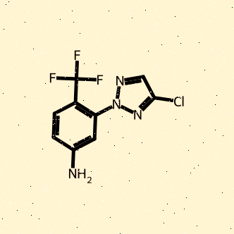 Nc1ccc(C(F)(F)F)c(-n2ncc(Cl)n2)c1